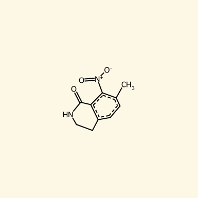 Cc1ccc2c(c1[N+](=O)[O-])C(=O)NCC2